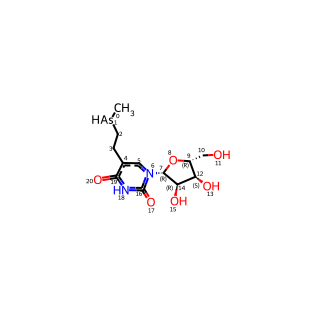 C[AsH]CCc1cn([C@@H]2O[C@H](CO)[C@@H](O)[C@H]2O)c(=O)[nH]c1=O